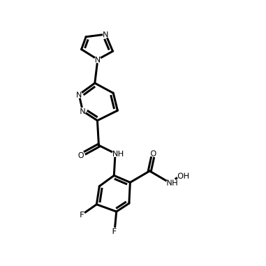 O=C(Nc1cc(F)c(F)cc1C(=O)NO)c1ccc(-n2ccnc2)nn1